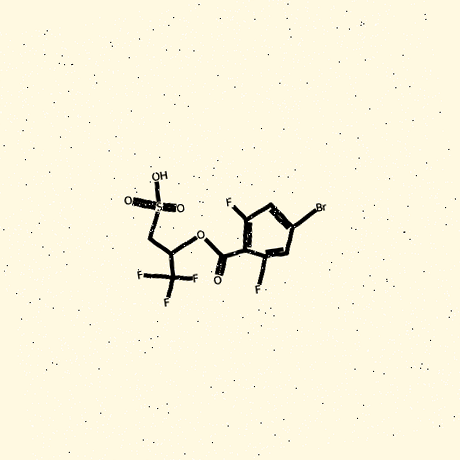 O=C(OC(CS(=O)(=O)O)C(F)(F)F)c1c(F)cc(Br)cc1F